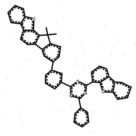 CC1(C)c2ccc(-c3cccc(-c4nc(-c5ccccc5)nc(-c5cccc6c5oc5ccccc56)n4)c3)cc2-c2ccc3c(oc4ccccc43)c21